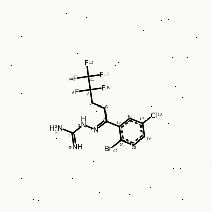 N=C(N)NN=C(CCC(F)(F)C(F)(F)F)c1cc(Cl)ccc1Br